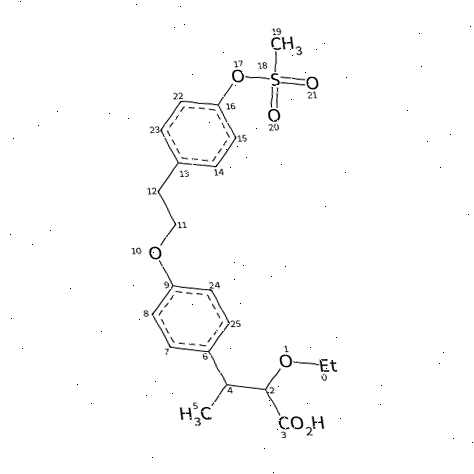 CCOC(C(=O)O)C(C)c1ccc(OCCc2ccc(OS(C)(=O)=O)cc2)cc1